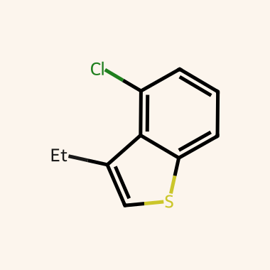 CCc1csc2cccc(Cl)c12